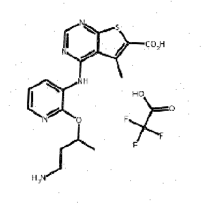 Cc1c(C(=O)O)sc2ncnc(Nc3cccnc3OC(C)CCN)c12.O=C(O)C(F)(F)F